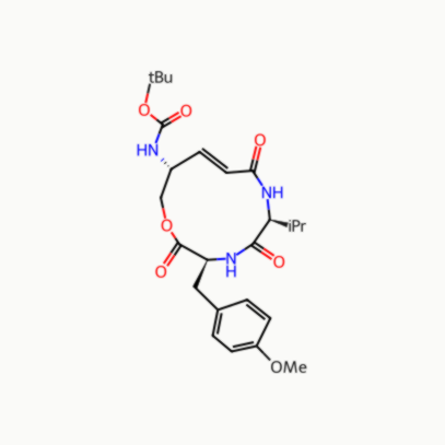 COc1ccc(C[C@@H]2NC(=O)[C@H](C(C)C)NC(=O)/C=C/[C@@H](NC(=O)OC(C)(C)C)COC2=O)cc1